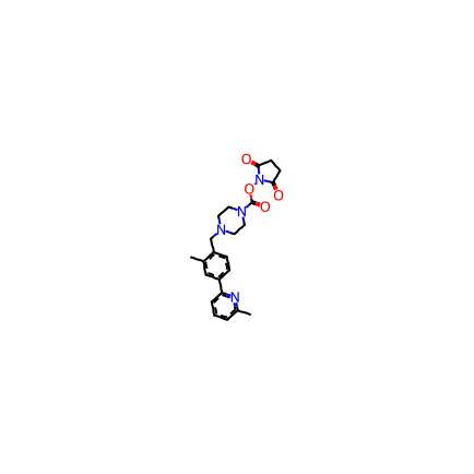 Cc1cccc(-c2ccc(CN3CCN(C(=O)ON4C(=O)CCC4=O)CC3)c(C)c2)n1